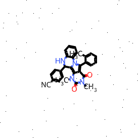 Cc1ccccc1-c1c2c(=O)n(C)c(=O)n(C)c2c2n1-c1ccccc1NC2c1ccc(C#N)cc1